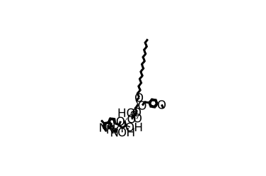 CCCCCCCCCCCCCCCCOC[C@H](COP(=O)(O)OC[C@H]1O[C@@](C#N)(c2ccc3c(C)ncnn23)[C@H](O)[C@@H]1O)OCc1ccc(OC)cc1